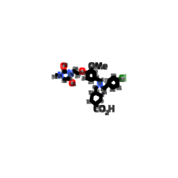 COc1cc(CN(CC2CCC(C(=O)O)CC2)[C@@H](C)c2ccc(Cl)cc2)ccc1OCCN1C(=O)CN(C)C1=O